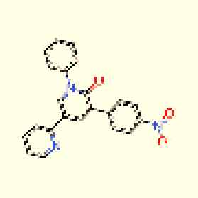 O=c1c(-c2ccc([N+](=O)[O-])cc2)cc(-c2ccccn2)cn1-c1ccccc1